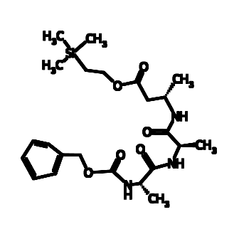 C[C@H](NC(=O)OCc1ccccc1)C(=O)N[C@H](C)C(=O)N[C@@H](C)CC(=O)OCC[Si](C)(C)C